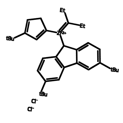 CC[C](CC)=[Zr+2]([C]1=CC(C(C)(C)C)=CC1)[CH]1c2ccc(C(C)(C)C)cc2-c2cc(C(C)(C)C)ccc21.[Cl-].[Cl-]